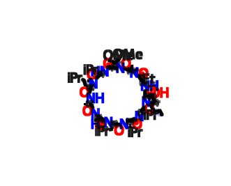 C/C=C/C[C@@H](C)[C@@H](O)[C@H]1C(=O)N[C@@H](CC)C(=O)N(C)[C@H](C)C(=O)N(C)[C@@H](C(COC)COC)C(=O)N[C@@H](C(C)C)C(=O)N(C)[C@@H](CCC(C)C)C(=O)N[C@@H](C)C(=O)N[C@H](C)C(=O)N(C)[C@@H](CC(C)C)C(=O)N(C)[C@@H](CC(C)C)C(=O)N(C)[C@@H](C(C)C)C(=O)N1C